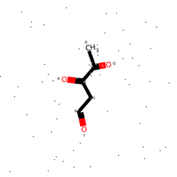 CC(=O)C(=O)CC=O